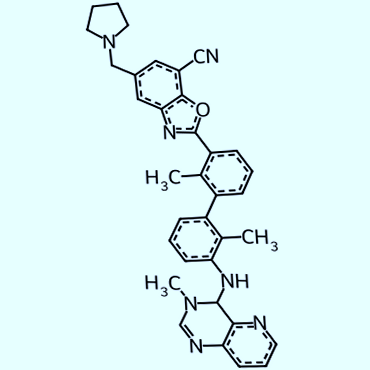 Cc1c(NC2c3ncccc3N=CN2C)cccc1-c1cccc(-c2nc3cc(CN4CCCC4)cc(C#N)c3o2)c1C